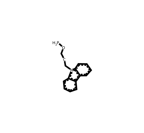 POCCCn1c2ccccc2c2ccccc21